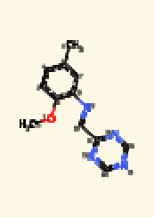 COc1ccc(C)cc1N=Cc1ncncn1